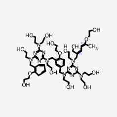 CC/C(=C\C=C(/C)OCCO)CN(CCO)c1nc(N(CCO)CCO)nc(N(CCO)Cc2ccc(OCCO)c(CN(CCO)c3nc(N(CCO)CCO)nc(N(CCO)CC4=C(OCCO)CC=CC=C4)n3)c2)n1